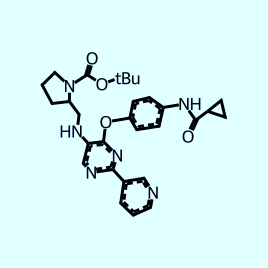 CC(C)(C)OC(=O)N1CCCC1CNc1cnc(-c2cccnc2)nc1Oc1ccc(NC(=O)C2CC2)cc1